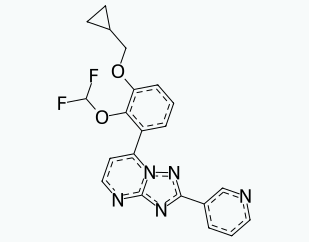 FC(F)Oc1c(OCC2CC2)cccc1-c1ccnc2nc(-c3cccnc3)nn12